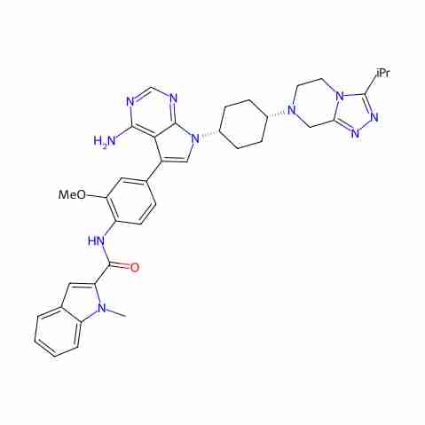 COc1cc(-c2cn([C@H]3CC[C@@H](N4CCn5c(nnc5C(C)C)C4)CC3)c3ncnc(N)c23)ccc1NC(=O)c1cc2ccccc2n1C